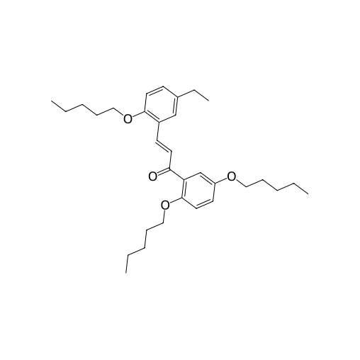 CCCCCOc1ccc(OCCCCC)c(C(=O)C=Cc2cc(CC)ccc2OCCCCC)c1